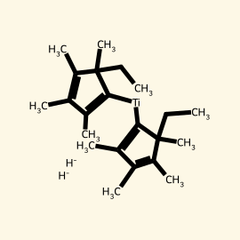 CCC1(C)C(C)=C(C)C(C)=[C]1[Ti][C]1=C(C)C(C)=C(C)C1(C)CC.[H-].[H-]